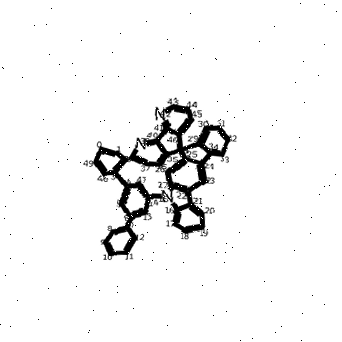 c1ccc(-c2cc(-c3ccccc3)cc(-n3c4ccccc4c4cc5c(cc43)C3(c4ccccc4-5)c4cccnc4-c4ncccc43)c2)cc1